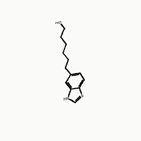 OCCCCCCc1ccc2nc[nH]c2c1